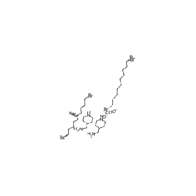 BrCCCCCCCCCCBr.BrCCCCCCCCCCBr.NCC1CCNCC1.NCC1CCNCC1.O=C([O-])[O-].[Na+].[Na+]